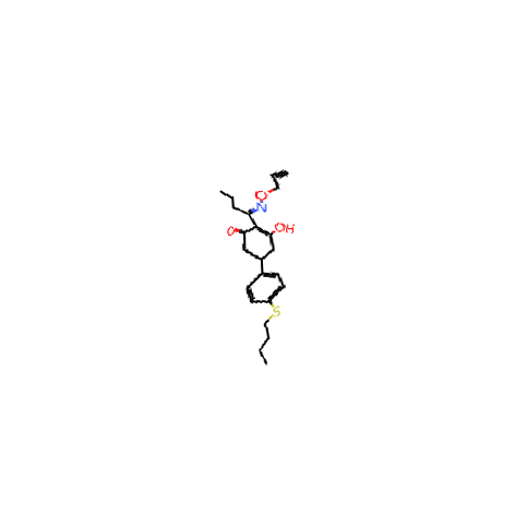 C=CCO/N=C(\CCC)C1=C(O)CC(c2ccc(SCCCC)cc2)CC1=O